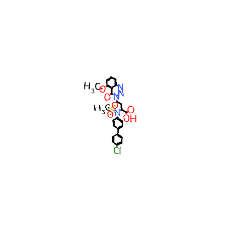 COc1cccc2nnn(CCC(C(=O)O)N(c3ccc(-c4ccc(Cl)cc4)cc3)S(C)(=O)=O)c(=O)c12